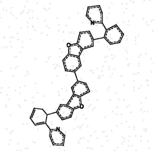 C1=CCC(c2ccc3oc4ccc(-c5ccc6oc7ccc(-c8ccccc8-c8ccccn8)cc7c6c5)cc4c3c2)C(c2ccccn2)=C1